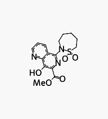 COC(=O)c1nc(N2CCCCCS2(=O)=O)c2cccnc2c1O